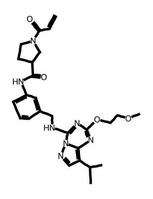 C=CC(=O)N1CCC(C(=O)Nc2cccc(CNc3nc(OCCOC)nc4c(C(C)C)cnn34)c2)C1